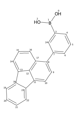 OB(O)c1cccc(-c2ccc3c4c(cccc24)-c2ccccc2-3)c1